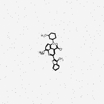 Cc1c(-c2cc(C(=O)[O-])c3c(O[C@@H]4CCC[C@H](C)C4)ccc(C)c3n2)sc2ccccc12.[Na+]